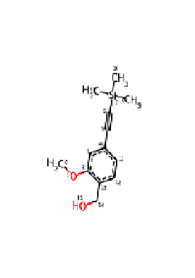 COc1cc(C#C[Si](C)(C)C)ccc1CO